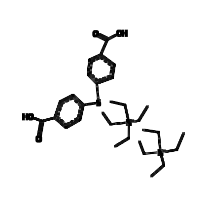 CC[N+](CC)(CC)CC.CC[N+](CC)(CC)CC.O=C(O)c1ccc(Sc2ccc(C(=O)O)cc2)cc1